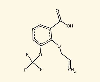 C=CCOc1c(OC(F)(F)F)cccc1C(=O)O